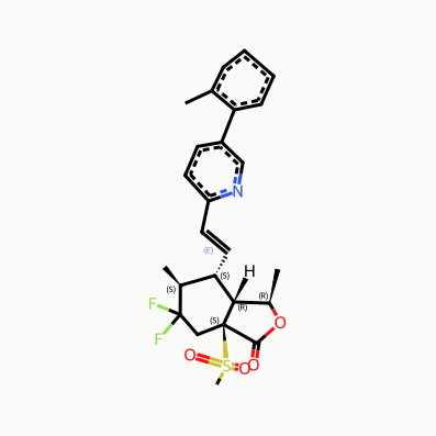 Cc1ccccc1-c1ccc(/C=C/[C@@H]2[C@@H]3[C@@H](C)OC(=O)[C@]3(S(C)(=O)=O)CC(F)(F)[C@H]2C)nc1